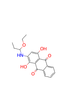 CCOC(CC)Nc1cc(O)c2c(c1O)C(=O)c1ccccc1C2=O